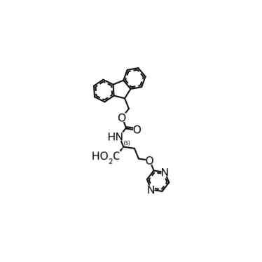 O=C(N[C@@H](CCOc1cnccn1)C(=O)O)OCC1c2ccccc2-c2ccccc21